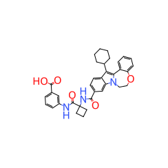 O=C(O)c1cccc(NC(=O)C2(NC(=O)c3ccc4c(C5CCCCC5)c5n(c4c3)CCOc3ccccc3-5)CCC2)c1